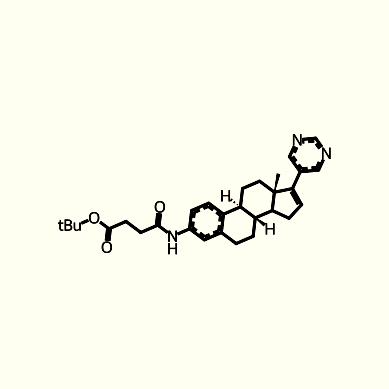 CC(C)(C)OC(=O)CCC(=O)Nc1ccc2c(c1)CC[C@H]1C3CC=C(c4cncnc4)[C@@]3(C)CC[C@H]21